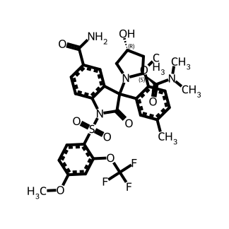 COc1ccc(S(=O)(=O)N2C(=O)C(c3cc(C)ccc3OC)(N3C[C@H](O)C[C@H]3C(=O)N(C)C)c3cc(C(N)=O)ccc32)c(OC(F)(F)F)c1